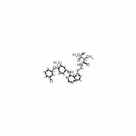 Cc1cc(Nc2ncnc3ccn(CCNC(=O)C(C)S(C)(=O)=O)c23)ccc1Oc1cccc(Cl)c1